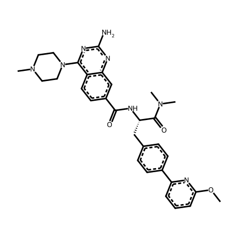 COc1cccc(-c2ccc(C[C@H](NC(=O)c3ccc4c(N5CCN(C)CC5)nc(N)nc4c3)C(=O)N(C)C)cc2)n1